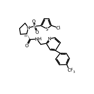 O=C(NCc1cc(-c2ccc(C(F)(F)F)cc2)ccn1)[C@@H]1CCCN1S(=O)(=O)c1ccc(Cl)s1